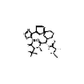 CN[C@@H](C)C(=O)N[C@H](C(=O)N(C)[C@H](C(=O)Nc1snnc1-c1ccccc1)C(C)(C)C)C1CCCCC1